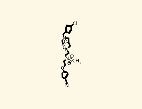 CS(=O)(=O)N(CCOc1ccc(C#N)cc1)CCN1CC2CN(Cc3ccc(Cl)cc3)CC(C1)O2